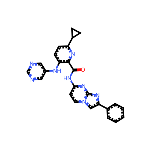 O=C(Nc1ccn2cc(-c3ccccc3)nc2n1)c1nc(C2CC2)ccc1Nc1cncnc1